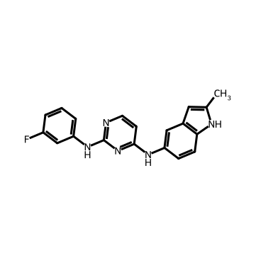 Cc1cc2cc(Nc3ccnc(Nc4cccc(F)c4)n3)ccc2[nH]1